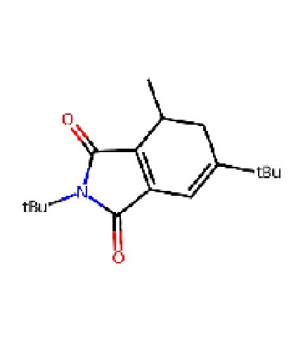 CC1CC(C(C)(C)C)=CC2=C1C(=O)N(C(C)(C)C)C2=O